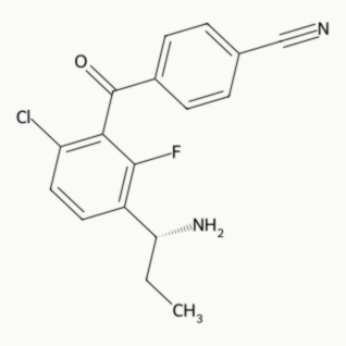 CC[C@@H](N)c1ccc(Cl)c(C(=O)c2ccc(C#N)cc2)c1F